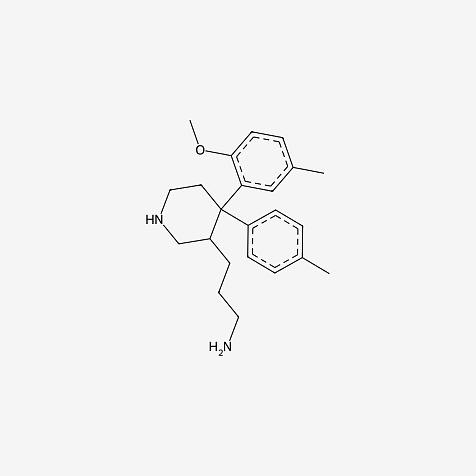 COc1ccc(C)cc1C1(c2ccc(C)cc2)CCNCC1CCCN